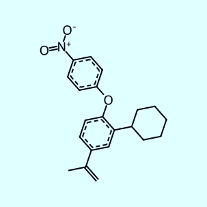 C=C(C)c1ccc(Oc2ccc([N+](=O)[O-])cc2)c(C2CCCCC2)c1